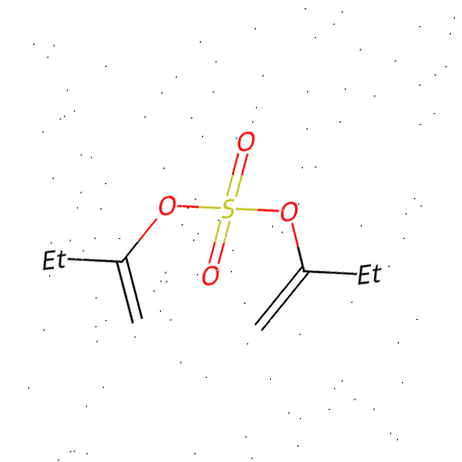 C=C(CC)OS(=O)(=O)OC(=C)CC